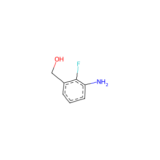 Nc1cccc(CO)c1F